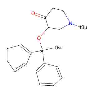 CC(C)(C)N1CCC(=O)C(O[Si](c2ccccc2)(c2ccccc2)C(C)(C)C)C1